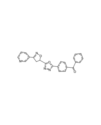 O=C(c1ccccc1)c1ccc(-c2nnc(C3CC(c4cccnc4)=NO3)o2)cc1